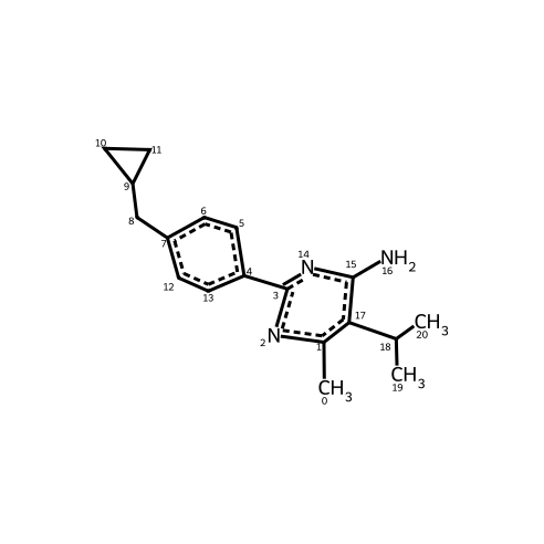 Cc1nc(-c2ccc(CC3CC3)cc2)nc(N)c1C(C)C